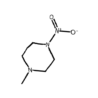 CN1CCN([N+](=O)[O-])CC1